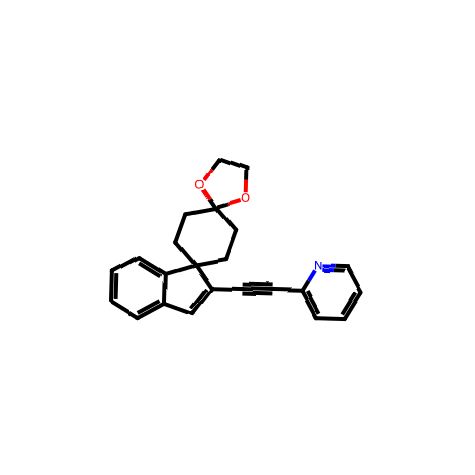 C(#Cc1ccccn1)C1=Cc2ccccc2C12CCC1(CC2)OCCO1